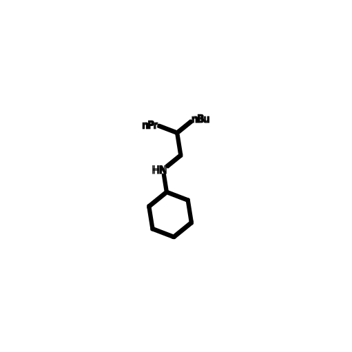 CCCCC(CCC)CNC1CCCCC1